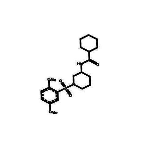 COc1ccc(OC)c(S(=O)(=O)N2CCCC(NC(=O)C3CCCCC3)C2)c1